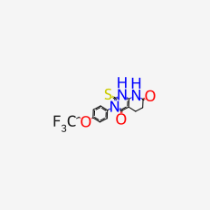 O=C1CCc2c([nH]c(=S)n(-c3ccc(OCC(F)(F)F)cc3)c2=O)N1